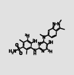 [2H]c1nc(Nc2c([2H])c([2H])c(C)c(S(N)(=O)=O)c2C)nc(N(C)c2ccc3c(C)n(C)nc3c2)c1[2H]